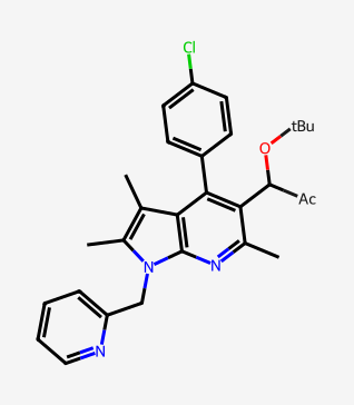 CC(=O)C(OC(C)(C)C)c1c(C)nc2c(c(C)c(C)n2Cc2ccccn2)c1-c1ccc(Cl)cc1